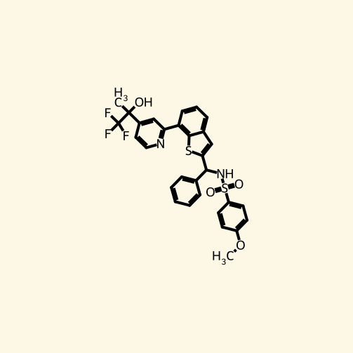 COc1ccc(S(=O)(=O)NC(c2ccccc2)c2cc3cccc(-c4cc(C(C)(O)C(F)(F)F)ccn4)c3s2)cc1